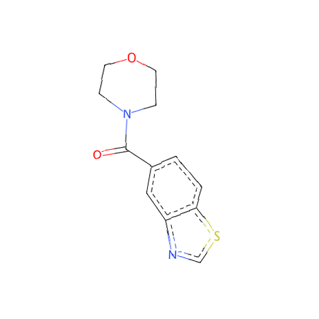 O=C(c1ccc2scnc2c1)N1CCOCC1